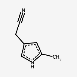 Cc1cc(CC#N)c[nH]1